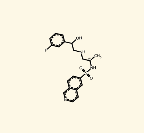 C[C@H](CNCC(O)c1cccc(F)c1)NS(=O)(=O)c1ccc2cnccc2c1